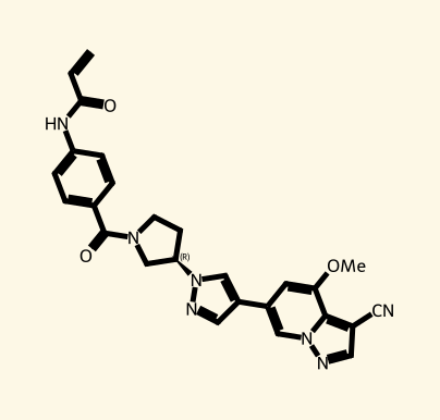 C=CC(=O)Nc1ccc(C(=O)N2CC[C@@H](n3cc(-c4cc(OC)c5c(C#N)cnn5c4)cn3)C2)cc1